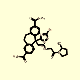 CCc1nnc(C2(C[C@@H](C)NCC(=O)N3CCCC3C#N)c3ccc(C(=O)NC)cc3CCc3cc(C(=O)NC)ccc32)o1